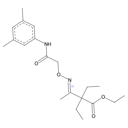 CCOC(=O)C(CC)(CC)/C(C)=N/OCC(=O)Nc1cc(C)cc(C)c1